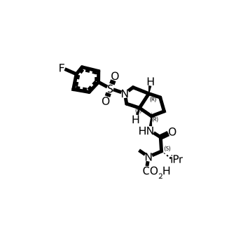 CC(C)[C@@H](C(=O)N[C@@H]1CC[C@H]2CN(S(=O)(=O)c3ccc(F)cc3)C[C@H]21)N(C)C(=O)O